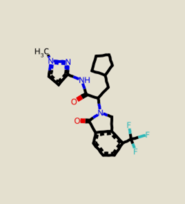 Cn1ccc(NC(=O)C(CC2CCCC2)N2Cc3c(cccc3C(F)(F)F)C2=O)n1